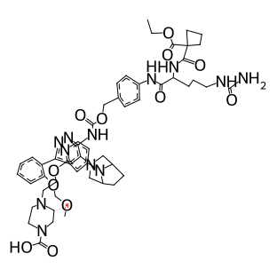 CCOC(=O)C1(C(=O)NC(CCCNC(N)=O)C(=O)Nc2ccc(COC(=O)Nc3nnc(-c4ccccc4OCOC)cc3N3CC4CCC(C3)N4c3ccnc(OCCN4CCN(C(=O)O)C[C@H]4C)c3)cc2)CCC1